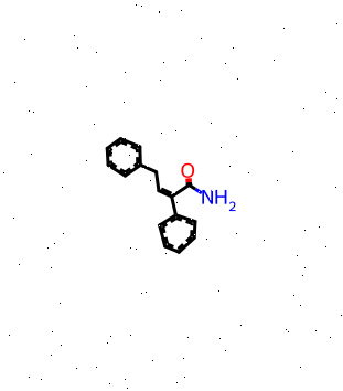 NC(=O)C(=CCc1ccccc1)c1ccccc1